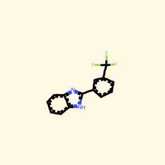 FC(F)(F)c1cccc(-c2nc3ccccc3[nH]2)c1